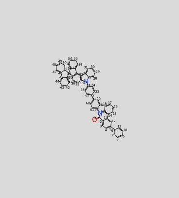 O=c1c2ccc(-c3ccccc3)cc2c2cccc3c4cc(-c5ccc(-n6c7ccccc7c7c8c(ccc76)C6(c7ccccc7-c7ccccc76)c6ccccc6-8)cc5)ccc4n1c23